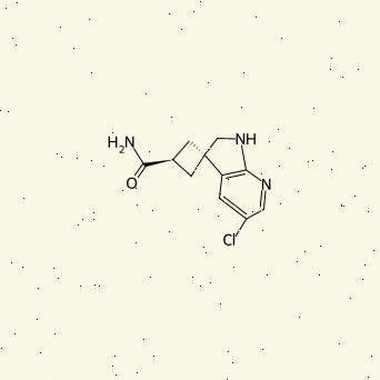 NC(=O)[C@H]1C[C@@]2(CNc3ncc(Cl)cc32)C1